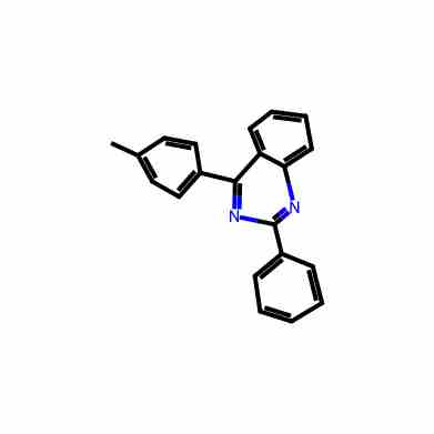 Cc1ccc(-c2nc(-c3ccccc3)nc3ccccc23)cc1